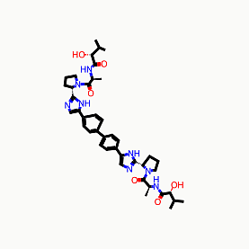 CC(C)[C@@H](O)C(=O)N[C@@H](C)C(=O)N1CCC[C@H]1c1ncc(-c2ccc(-c3ccc(-c4cnc([C@@H]5CCCN5C(=O)[C@H](C)NC(=O)[C@H](O)C(C)C)[nH]4)cc3)cc2)[nH]1